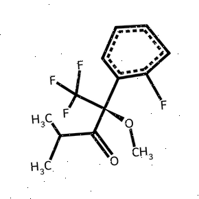 CO[C@](C(=O)C(C)C)(c1ccccc1F)C(F)(F)F